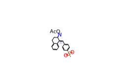 CC(=O)ON=C1CCc2ccccc2/C1=C\c1ccc(S(C)(=O)=O)cc1